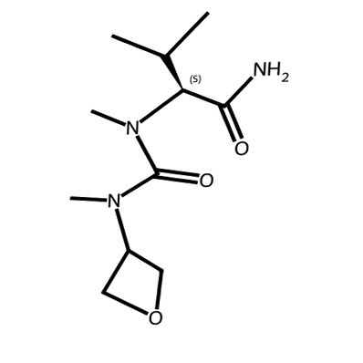 CC(C)[C@@H](C(N)=O)N(C)C(=O)N(C)C1COC1